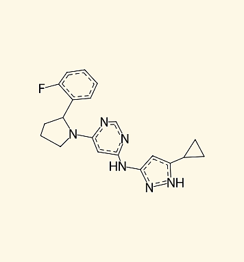 Fc1ccccc1C1CCCN1c1cc(Nc2cc(C3CC3)[nH]n2)ncn1